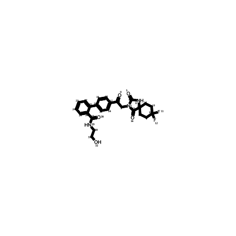 O=C(CN1C(=O)NC2(CCC(F)(F)CC2)C1=O)c1ccc(-c2ccccc2C(=O)NCCO)cc1